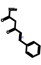 CNC(=O)CC(=O)/C=C/c1ccccc1